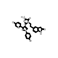 C[C@@H]1O[C@H](c2cn(-c3ccc(Br)cc3)nc2-c2ccc(Cl)cn2)N(CCc2ccc3c(c2)CC(=O)N3)C1=O